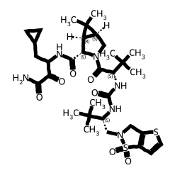 CC(C)(C)[C@H](NC(=O)N[C@H](CN1Cc2sccc2S1(=O)=O)C(C)(C)C)C(=O)N1C[C@H]2[C@@H]([C@H]1C(=O)NC(CC1CC1)C(=O)C(N)=O)C2(C)C